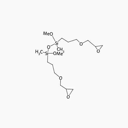 CO[Si](C)(CCCOCC1CO1)O[Si](C)(CCCOCC1CO1)OC